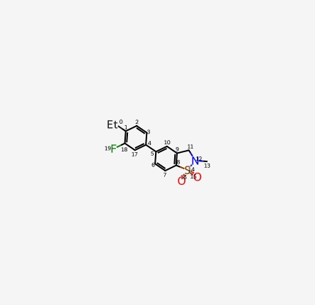 CCc1ccc(-c2ccc3c(c2)CN(C)S3(=O)=O)cc1F